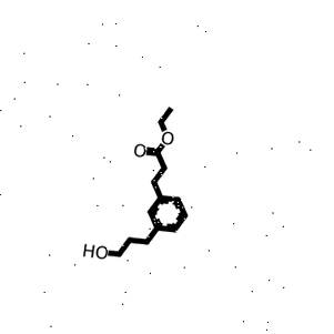 CCOC(=O)CCc1cccc(CCCO)c1